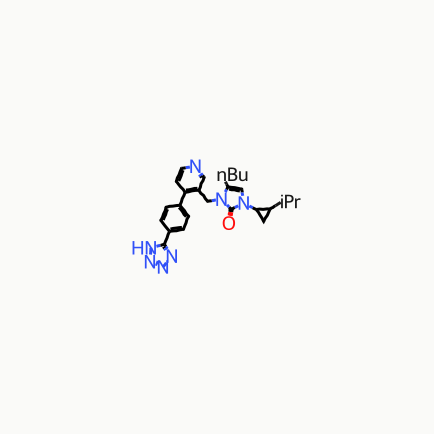 CCCCc1cn(C2CC2C(C)C)c(=O)n1Cc1cnccc1-c1ccc(-c2nnn[nH]2)cc1